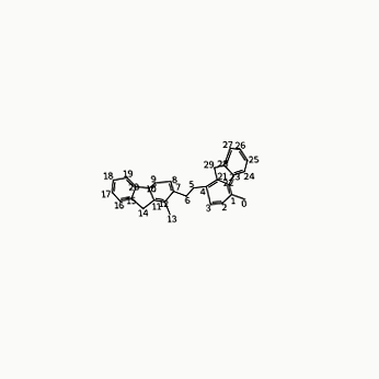 Cc1ccc(CCc2ccc3c(c2C)Cc2ccccc2-3)c2c1-c1ccccc1C2